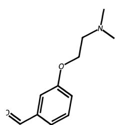 CN(C)CCOc1cccc(C=O)c1